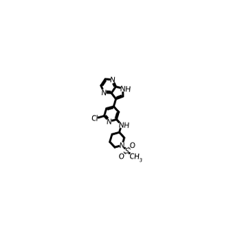 CS(=O)(=O)N1CCCC(Nc2cc(-c3c[nH]c4nccnc34)cc(Cl)n2)C1